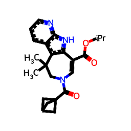 CC(C)OC(=O)C1=CN(C(=O)C23CC(C2)C3)CC(C)(C)c2c1[nH]c1ncccc21